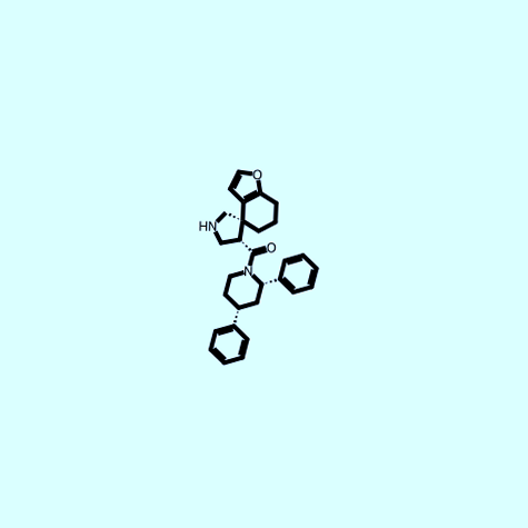 O=C([C@@H]1CNC[C@]12CCCc1occc12)N1CC[C@@H](c2ccccc2)C[C@H]1c1ccccc1